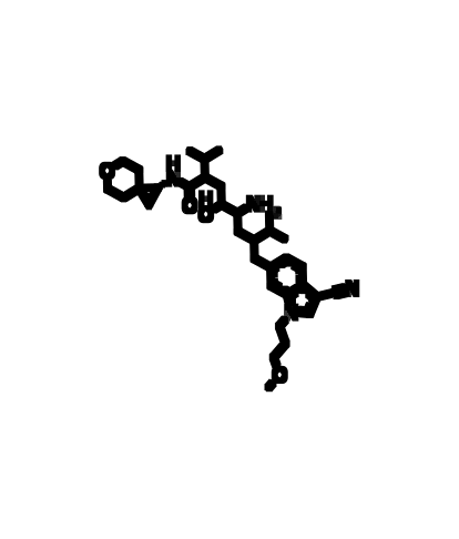 COCCCn1cc(C#N)c2ccc(CC(CC(N)C(O)CC(C(=O)N[C@@H]3CC34CCOCC4)C(C)C)C(C)C)cc21